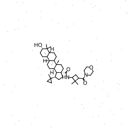 CC1(C)C(NC(=O)[C@]23CC[C@@H](C4(C)CC4)C2[C@H]2CC[C@@H]4[C@@]5(C)CC[C@H](O)C(C)(C)[C@@H]5CC[C@@]4(C)[C@]2(C)CC3)CC1C(=O)N1CCOCC1